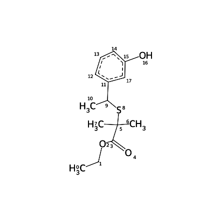 CCOC(=O)C(C)(C)SC(C)c1cccc(O)c1